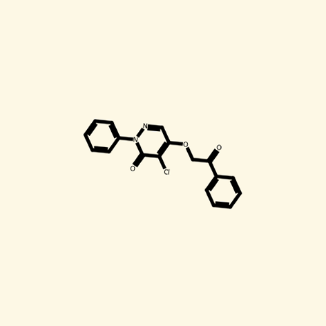 O=C(COc1cnn(-c2ccccc2)c(=O)c1Cl)c1ccccc1